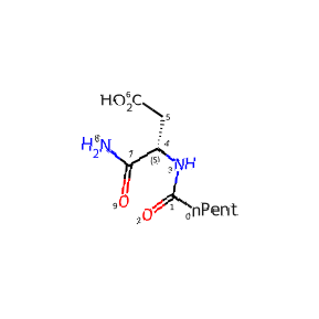 CCCCCC(=O)N[C@@H](CC(=O)O)C(N)=O